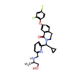 CC(CO)NCc1cccc(C(C2CC2)N2CCc3ccc(Oc4ccc(F)cc4F)cc3C2=O)n1